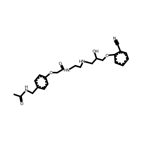 CC(=O)NCc1ccc(OCC(=O)NCCNCC(O)COc2ccccc2C#N)cc1